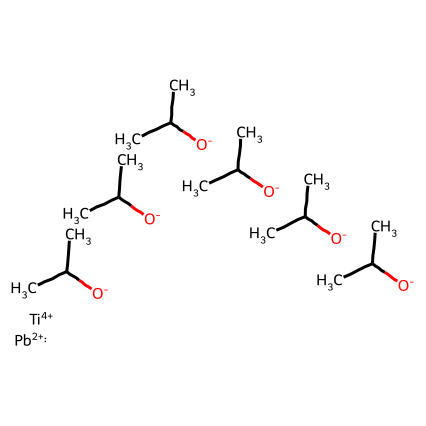 CC(C)[O-].CC(C)[O-].CC(C)[O-].CC(C)[O-].CC(C)[O-].CC(C)[O-].[Pb+2].[Ti+4]